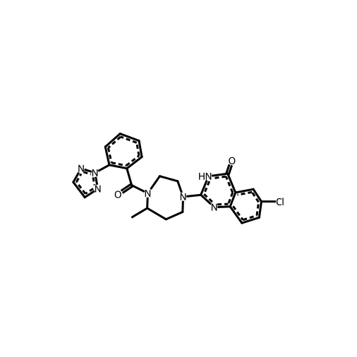 CC1CCN(c2nc3ccc(Cl)cc3c(=O)[nH]2)CCN1C(=O)c1ccccc1-n1nccn1